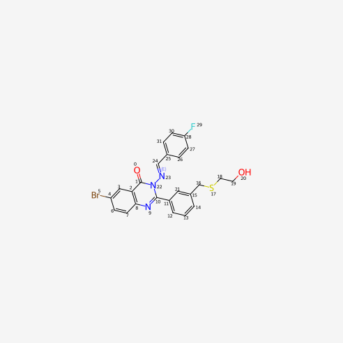 O=c1c2cc(Br)ccc2nc(-c2cccc(CSCCO)c2)n1/N=C/c1ccc(F)cc1